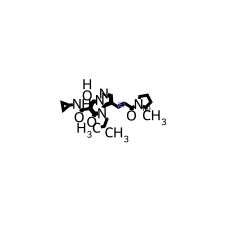 CC(C)Cn1c(=O)c(C(=O)NC2CC2)c(O)n2ncc(/C=C/C(=O)N3CCC[C@@H]3C)c12